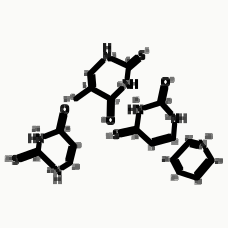 Cc1c[nH]c(=S)[nH]c1=O.O=c1[nH]ccc(=S)[nH]1.O=c1cc[nH]c(=S)[nH]1.c1ccncc1